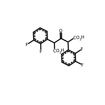 O=C(O)C(C(=O)C(C(=O)O)c1cccc(F)c1F)c1cccc(F)c1F